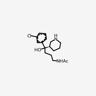 CC(=O)NCCCC(O)(c1cccc(Cl)c1)[C@@H]1CCCNC1